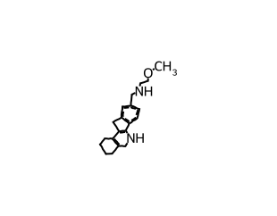 COCCNCc1ccc2c(c1)CC1=C2NCC2=C1CCCC2